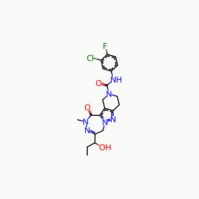 CCC(O)C1=NN(C)C(=O)c2c3c(nn2C1)CCN(C(=O)Nc1ccc(F)c(Cl)c1)C3